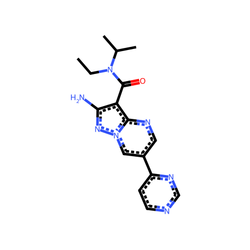 CCN(C(=O)c1c(N)nn2cc(-c3ccncn3)cnc12)C(C)C